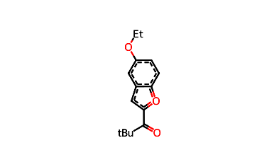 CCOc1ccc2oc(C(=O)C(C)(C)C)cc2c1